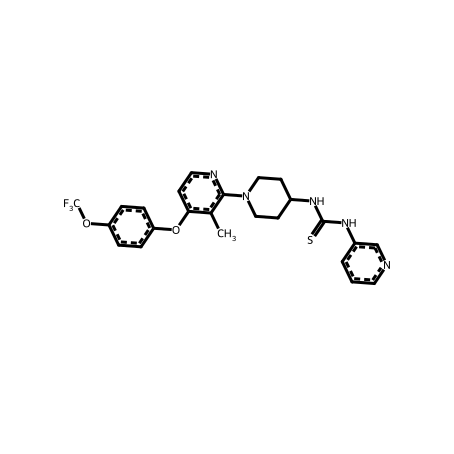 Cc1c(Oc2ccc(OC(F)(F)F)cc2)ccnc1N1CCC(NC(=S)Nc2cccnc2)CC1